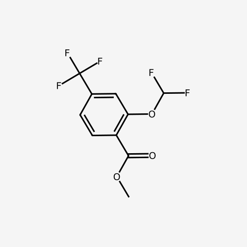 COC(=O)c1ccc(C(F)(F)F)cc1OC(F)F